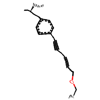 CN[C@H](C)c1ccc(C#CC#CCOCC(C)=O)cc1